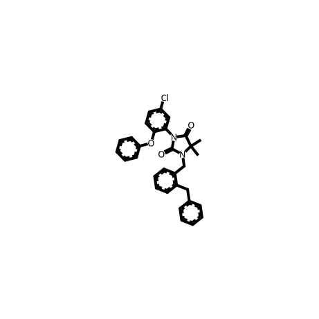 CC1(C)C(=O)N(c2cc(Cl)ccc2Oc2ccccc2)C(=O)N1Cc1ccccc1Cc1ccccc1